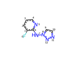 Fc1cccnc1Nn1c[c]nn1